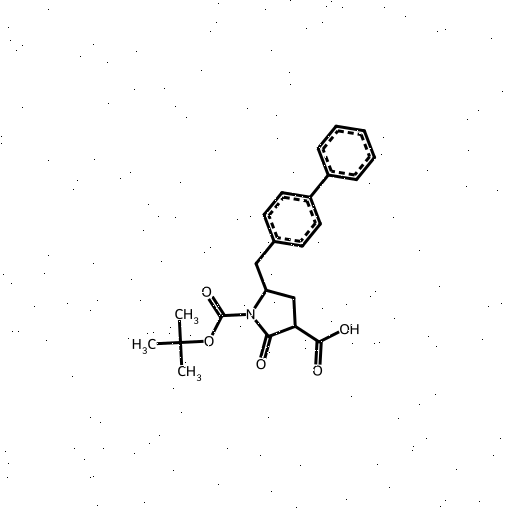 CC(C)(C)OC(=O)N1C(=O)C(C(=O)O)CC1Cc1ccc(-c2ccccc2)cc1